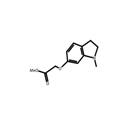 COC(=O)COc1ccc2c(c1)N(C)CC2